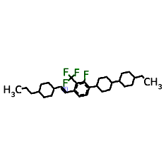 CCCC1CCC(/C=C/c2ccc(C3CCC(C4CCC(CC)CC4)CC3)c(F)c2C(F)(F)F)CC1